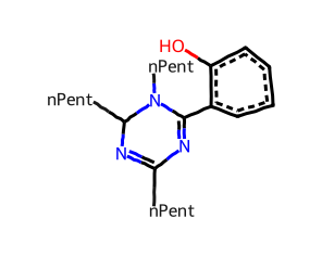 CCCCCC1=NC(CCCCC)N(CCCCC)C(c2ccccc2O)=N1